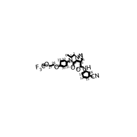 CC1Cn2ncc(C(=O)Nc3cccc(C#N)c3)c2C(=O)N1c1ccc(OCCOC(F)(F)F)cc1